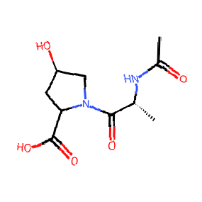 CC(=O)N[C@H](C)C(=O)N1CC(O)CC1C(=O)O